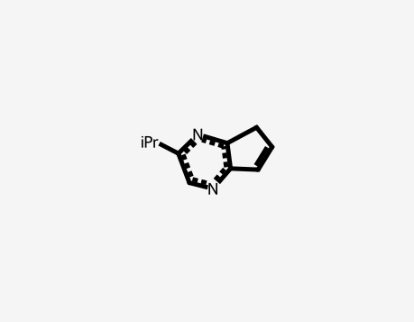 CC(C)c1cnc2c(n1)CC=C2